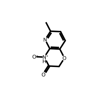 Cc1ccc2c(n1)[NH+]([O-])C(=O)CO2